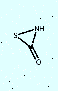 O=C1NS1